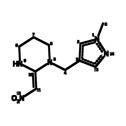 Cn1cc(CN2CCCNC2=C[N+](=O)[O-])cn1